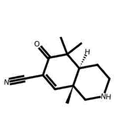 CC1(C)C(=O)C(C#N)=C[C@@]2(C)CNCC[C@H]12